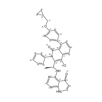 C[C@H](Nc1ncnc2[nH]ccc(=O)c12)c1c(Cl)c2cccc(-c3ccc(OCC4CC4)nc3)c2c(=O)n1-c1ccccc1